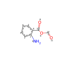 Nc1ccccc1C(=O)OC=O